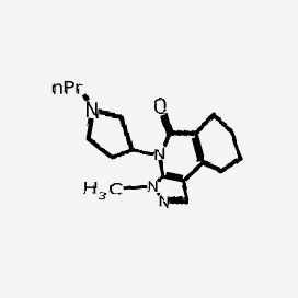 CCCN1CCC(n2c(=O)c3c(c4cnn(C)c42)CCCC3)C1